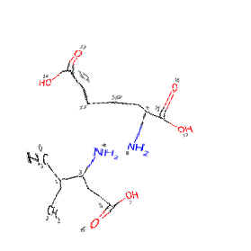 CC(C)C(N)C(=O)O.NC(CCC(=O)O)C(=O)O